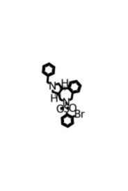 O=S(=O)(c1ccccc1Br)N1Cc2ccccc2[C@H]2CN(Cc3ccccc3)C[C@@H]2C1